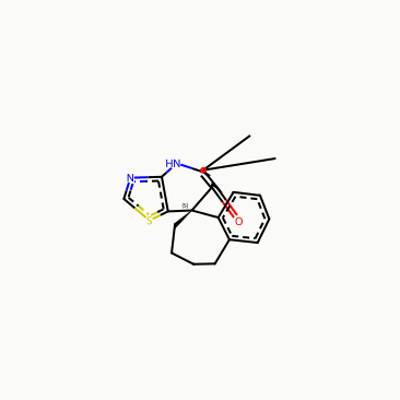 CC1(C)CC(=O)C2=C(C1)Nc1ncsc1[C@]21CCCCc2ccccc21